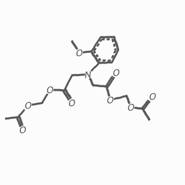 COc1ccccc1N(CC(=O)OCOC(C)=O)CC(=O)OCOC(C)=O